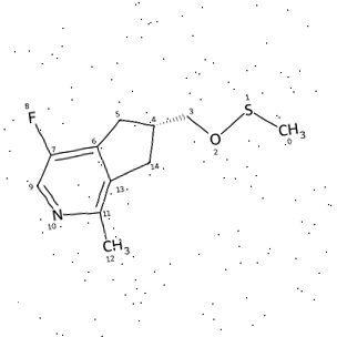 CSOC[C@H]1Cc2c(F)cnc(C)c2C1